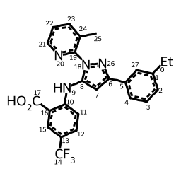 CCc1cccc(-c2cc(Nc3ccc(C(F)(F)F)cc3C(=O)O)n(-c3ncccc3C)n2)c1